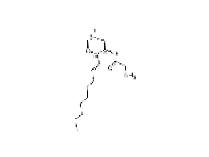 CCCCCCCC=C[C@H]1OC[C@H](C)C[C@H]1OC(=O)CN